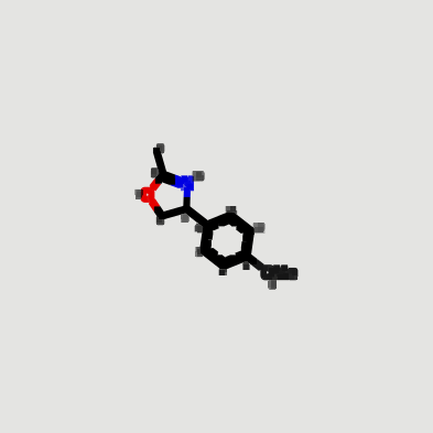 COc1ccc(C2COC(C)=N2)cc1